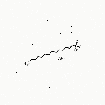 CCCCCCCCCCCCCCP(=O)([O-])[O-].[Cd+2]